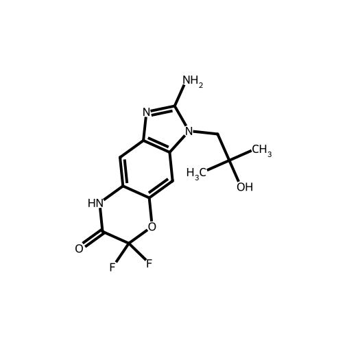 CC(C)(O)Cn1c(N)nc2cc3c(cc21)OC(F)(F)C(=O)N3